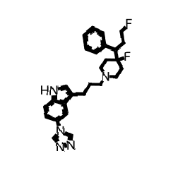 FCCC(c1ccccc1)C1(F)CCN(CCCc2c[nH]c3ccc(-n4cnnc4)cc23)CC1